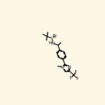 CC(N[S+]([O-])C(C)(C)C)c1ccc(-c2nc(C(F)(F)F)cn2C)cc1